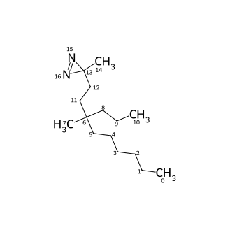 CCCCCCC(C)(CCC)CCC1(C)N=N1